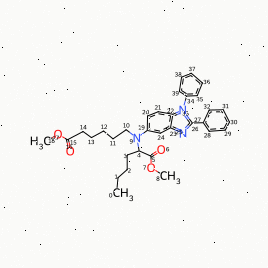 CCCCC(C(=O)OC)N(CCCCCC(=O)OC)c1ccc2c(c1)nc(-c1ccccc1)n2-c1ccccc1